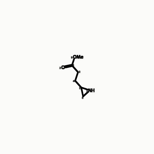 COC(=O)CCC1CN1